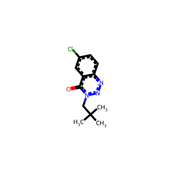 CC(C)(C)Cn1nnc2ccc(Cl)cc2c1=O